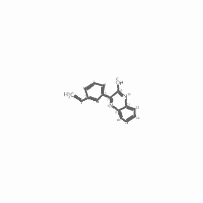 C=Cc1cccc(-c2nc3ccccc3nc2O)c1